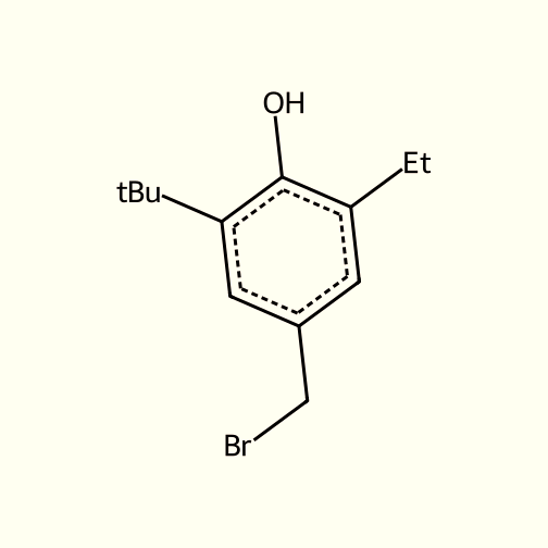 CCc1cc(CBr)cc(C(C)(C)C)c1O